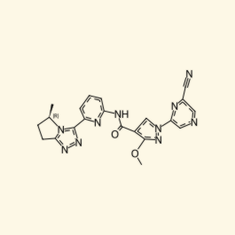 COc1nn(-c2cncc(C#N)n2)cc1C(=O)Nc1cccc(-c2nnc3n2[C@H](C)CC3)n1